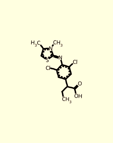 CCC(C(=O)O)c1cc(Cl)c(N=c2scc(C)n2C)c(Cl)c1